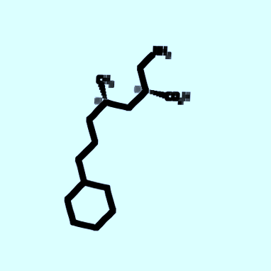 C[C@@H](CCCC1CCCCC1)C[C@H](CN)C(=O)O